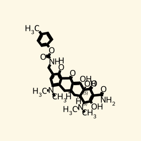 Cc1ccc(OC(=O)NCc2cc(N(C)C)c3c(c2O)C(=O)C2=C(O)[C@]4(O)C(=O)C(C(N)=O)=C(O)[C@@H](N(C)C)[C@@H]4C[C@@H]2C3)cc1